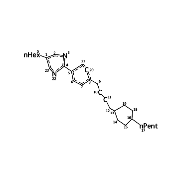 CCCCCCc1cnc(-c2ccc(CCCCC3CCC(CCCCC)CC3)cc2)nc1